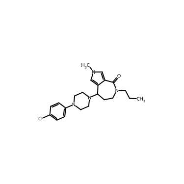 CCCN1CCC(N2CCN(c3ccc(Cl)cc3)CC2)c2cn(C)cc2C1=O